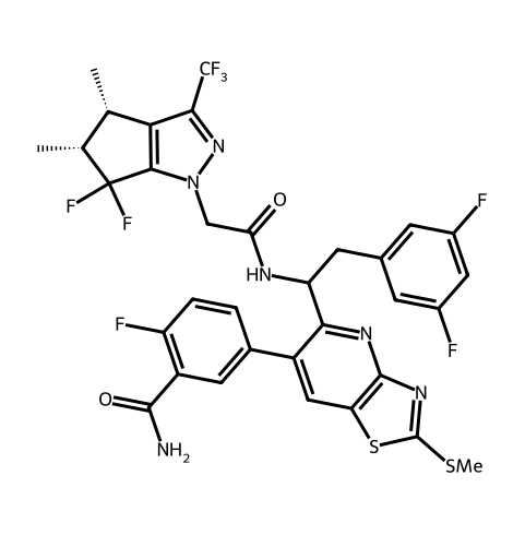 CSc1nc2nc(C(Cc3cc(F)cc(F)c3)NC(=O)Cn3nc(C(F)(F)F)c4c3C(F)(F)[C@H](C)[C@@H]4C)c(-c3ccc(F)c(C(N)=O)c3)cc2s1